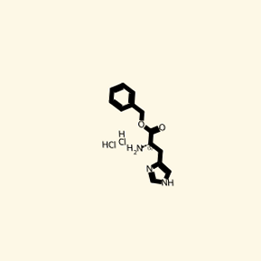 Cl.Cl.N[C@@H](Cc1c[nH]cn1)C(=O)OCc1ccccc1